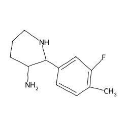 Cc1ccc(C2NCCCC2N)cc1F